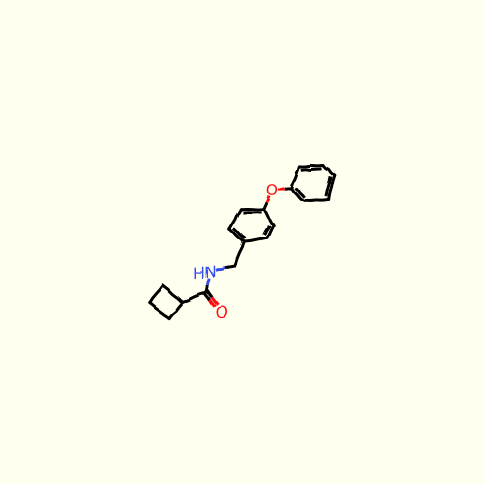 O=C(NCc1ccc(Oc2ccccc2)cc1)C1CCC1